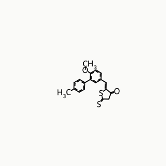 COc1ccc(/C=C2\SC(=S)CC2=O)cc1-c1ccc(C)cc1